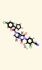 Cc1c(N2C(=O)[C@@H]3C4C[C@H](CN4C(=O)C4(c5ccc(Cl)cc5)CCCC4)N3C2=O)ccc(C#N)c1Cl